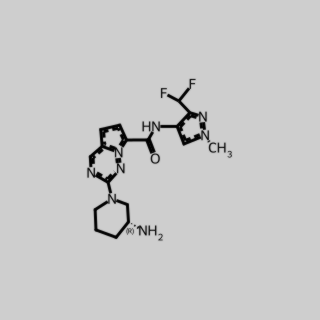 Cn1cc(NC(=O)c2ccc3cnc(N4CCC[C@@H](N)C4)nn23)c(C(F)F)n1